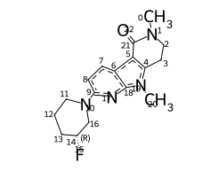 CN1CCc2c(c3ccc(N4CCC[C@@H](F)C4)nc3n2C)C1=O